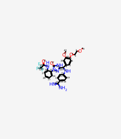 COCCOc1ccc(C(Nc2ccc(C(=N)N)cc2)c2nn(-c3ccccc3NC(=O)C(F)(F)F)c(=O)[nH]2)cc1OC